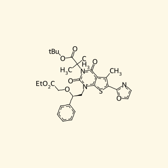 CCOC(=O)CO[C@@H](Cn1c(=O)n(C(C)(C)C(=O)OC(C)(C)C)c(=O)c2c(C)c(-c3ncco3)sc21)c1ccccc1